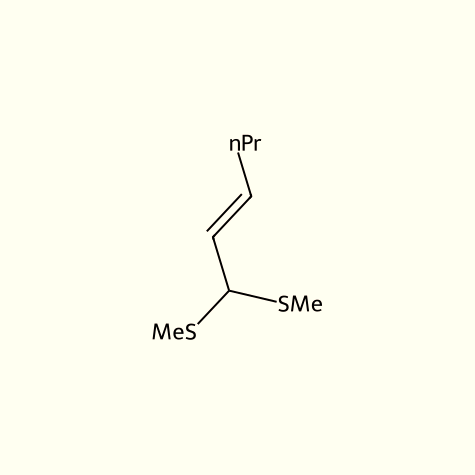 CCC/C=C/C(SC)SC